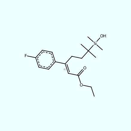 CCOC(=O)/C=C(\CCC(C)(C)[Si](C)(C)O)c1ccc(F)cc1